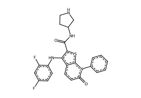 O=C(NC1CCNC1)c1sc2c(ccc(=O)n2-c2ccccc2)c1Nc1ccc(F)cc1F